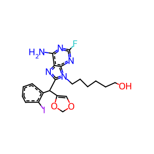 Nc1nc(F)nc2c1nc(C(C1=COCO1)c1ccccc1I)n2CCCCCCO